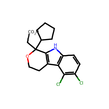 O=C(O)CC1(C2CCCC2)OCCc2c1[nH]c1ccc(Cl)c(Cl)c21